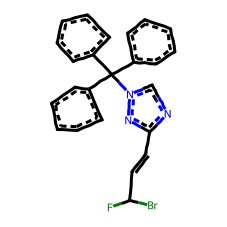 FC(Br)C=Cc1ncn(C(c2ccccc2)(c2ccccc2)c2ccccc2)n1